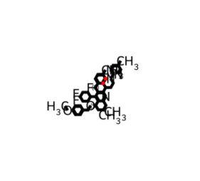 COc1ccc(CO[C@H]2CC(C)(C)Cc3nc(C4CCN(c5ncc(C)cn5)CC4)c([C@@H](F)c4ccc(C)cc4)c(C4CCC(F)(F)CC4)c32)cc1